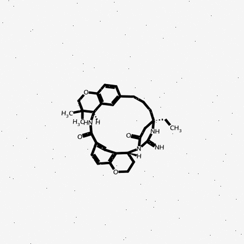 CC[C@]12CCCc3ccc4c(c3)[C@@H](NC(=O)c3ccc5c(c3)[C@@H](CCO5)N(C(=N)N1)C(=O)C2)C(C)(C)CO4